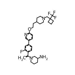 C=C(c1ccc(-c2ccc(OCCC3CCN(CC4(C(F)(F)F)CCC4)CC3)nc2)cc1F)N1CCCC(N)C1